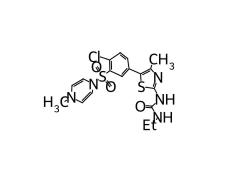 CCNC(=O)Nc1nc(C)c(-c2ccc(Cl)c(S(=O)(=O)N3C=CN(C)C=C3)c2)s1